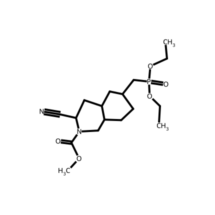 CCOP(=O)(CC1CCC2CN(C(=O)OC)C(C#N)CC2C1)OCC